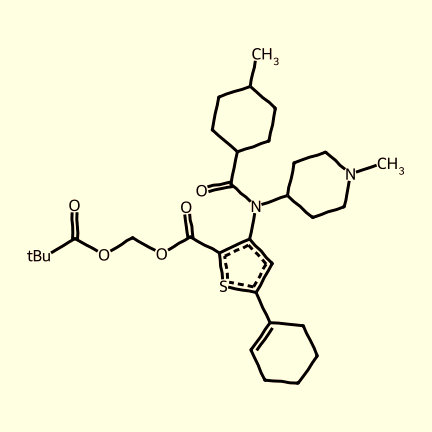 CC1CCC(C(=O)N(c2cc(C3=CCCCC3)sc2C(=O)OCOC(=O)C(C)(C)C)C2CCN(C)CC2)CC1